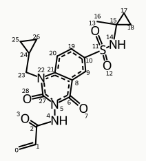 C=CC(=O)Nn1c(=O)c2cc(S(=O)(=O)NC3(C)CC3)ccc2n(CC2CC2)c1=O